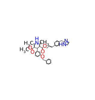 COC(=O)C1=C(C)NC(C)=C(C(=O)OCC=Cc2ccc(Cc3ncc[nH]3)cc2)C1c1cccc(OCc2ccccc2)c1